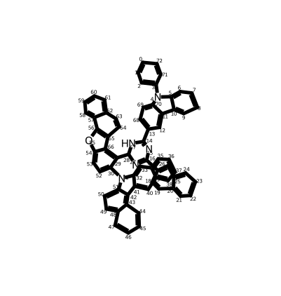 c1ccc(-n2c3ccccc3c3cc(C4=NC(c5ccc6ccccc6c5)=NC(c5c(-n6c7cc8ccccc8cc7c7c8ccccc8ccc76)ccc6oc7c8ccccc8ccc7c56)N4)ccc32)cc1